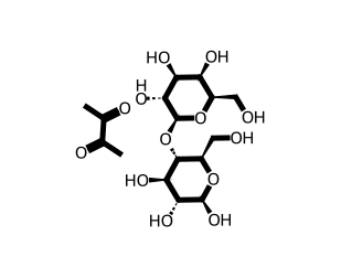 CC(=O)C(C)=O.OC[C@H]1O[C@@H](O[C@H]2[C@H](O)[C@@H](O)[C@H](O)O[C@@H]2CO)[C@H](O)[C@@H](O)[C@H]1O